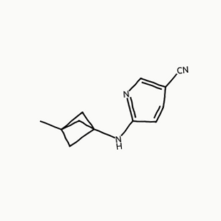 CC12CC(Nc3ccc(C#N)cn3)(C1)C2